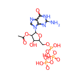 CC(=O)OC1C(O)C(COP(=O)(O)OP(=O)(O)OP(=O)(O)O)OC1n1cnc2c(=O)[nH]c(N)nc21